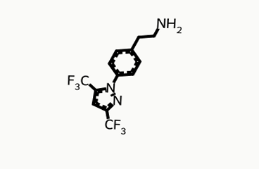 NCCc1ccc(-n2nc(C(F)(F)F)cc2C(F)(F)F)cc1